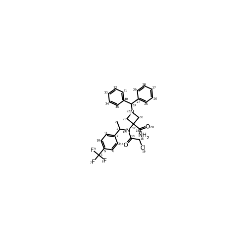 CC(c1ccc(C(F)(F)F)cc1)N(C(=O)CCl)C1(C(N)=O)CN(C(c2ccccc2)c2ccccc2)C1